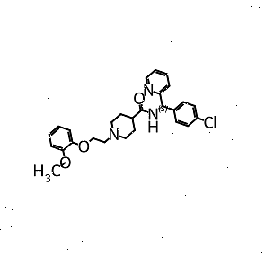 COc1ccccc1OCCN1CCC(C(=O)N[C@@H](c2ccc(Cl)cc2)c2ccccn2)CC1